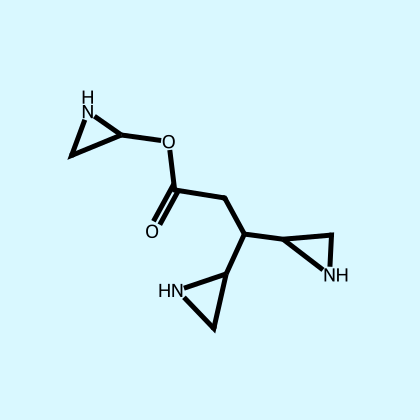 O=C(CC(C1CN1)C1CN1)OC1CN1